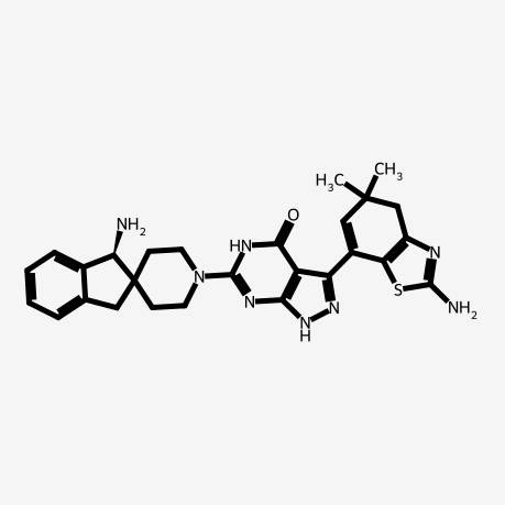 CC1(C)C=C(c2n[nH]c3nc(N4CCC5(CC4)Cc4ccccc4[C@H]5N)[nH]c(=O)c23)c2sc(N)nc2C1